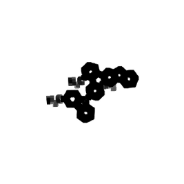 Cc1ccc(-n2c3c(c4ccccc42)CC(C)C=C3)cc1-c1c(C)cccc1-c1ccc2c(c1)Cc1ccccc1-2